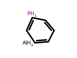 P.[AlH3].c1ccccc1